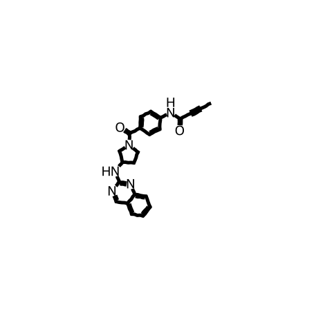 CC#CC(=O)Nc1ccc(C(=O)N2CCC(Nc3ncc4ccccc4n3)C2)cc1